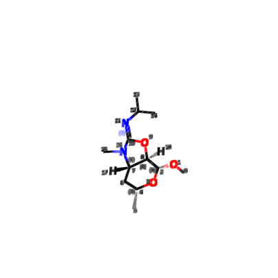 CO[C@@H]1O[C@H](C)C[C@H]2[C@H]1O/C(=N\C(C)C)N2C